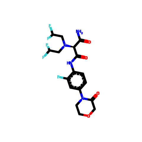 NC(=O)[C@@H](C(=O)Nc1ccc(N2CCOCC2=O)cc1F)N(CC(F)F)CC(F)F